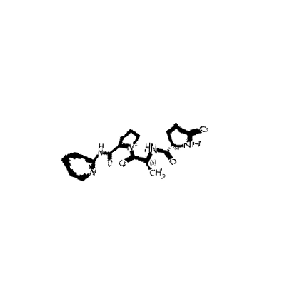 C[C@H](NC(=O)[C@@H]1CCC(=O)N1)C(=O)[N+]1=C(C(=O)Nc2ccccn2)CCC1